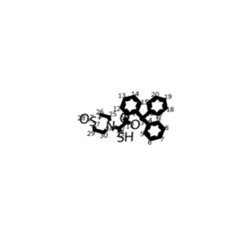 O=C(OC(c1ccccc1)(c1ccccc1)c1ccccc1)C(S)N1CC[S+]([O-])CC1